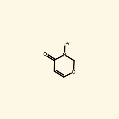 CC(C)N1COC=CC1=O